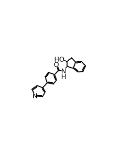 O=C(N[C@@H]1c2ccccc2C[C@@H]1O)c1ccc(-c2ccncc2)cc1